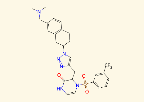 CN(C)Cc1ccc2c(c1)CC(n1cc(CC3C(=O)NC=CN3S(=O)(=O)c3cccc(C(F)(F)F)c3)nn1)CC2